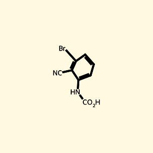 N#Cc1c(Br)cccc1NC(=O)O